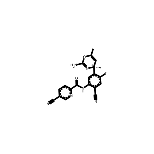 CC1=C[C@@](C)(c2cc(NC(=O)c3ccc(C#N)cn3)c(C#N)cc2F)N=C(N)O1